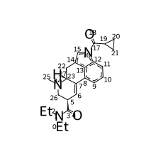 CCN(CC)C(=O)[C@@H]1C=C2c3cccc4c3c(cn4C(=O)C3CC3)C[C@H]2N(C)C1